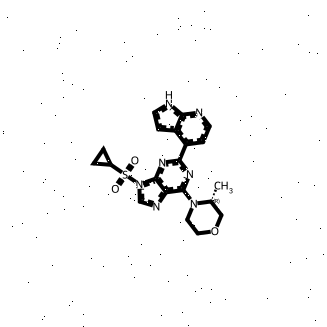 C[C@@H]1COCCN1c1nc(-c2ccnc3[nH]ccc23)nc2c1ncn2S(=O)(=O)C1CC1